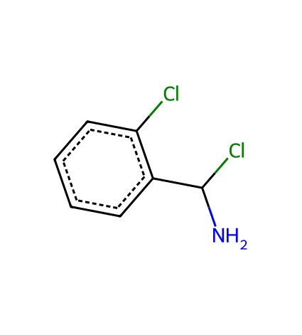 NC(Cl)c1ccccc1Cl